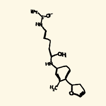 CC1=CC(NC(O)CCCCN[S+]([O-])C(C)C)CC=C1C1CC=CO1